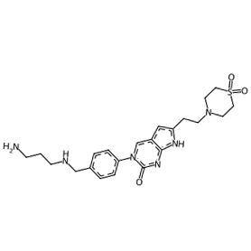 NCCCNCc1ccc(-n2cc3cc(CCN4CCS(=O)(=O)CC4)[nH]c3nc2=O)cc1